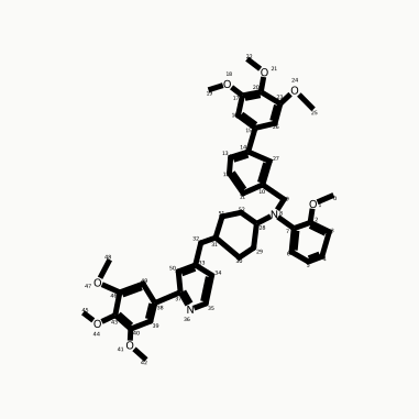 COc1ccccc1N(Cc1cccc(-c2cc(OC)c(OC)c(OC)c2)c1)C1CCC(Cc2ccnc(-c3cc(OC)c(OC)c(OC)c3)c2)CC1